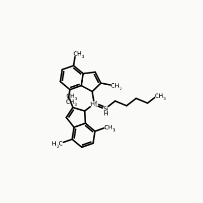 CCCCC[SiH]=[Hf]([CH]1C(C)=Cc2c(C)ccc(C)c21)[CH]1C(C)=Cc2c(C)ccc(C)c21